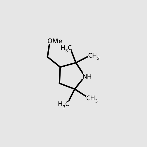 COCC1CC(C)(C)NC1(C)C